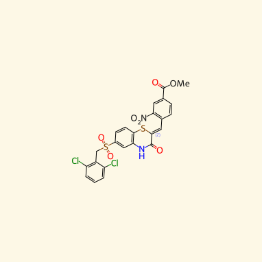 COC(=O)c1ccc(/C=C2\Sc3ccc(S(=O)(=O)Cc4c(Cl)cccc4Cl)cc3NC2=O)c([N+](=O)[O-])c1